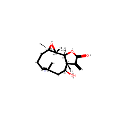 C=C1C(=O)O[C@H]2[C@H]1[C@@H](O)C/C(C)=C/CC[C@@]1(C)O[C@H]21